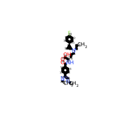 C=CCN(CCC[C@H](NC(=O)c1ccc(C(=C/N=C)/N=C\C)cc1)C(=O)O)[C@@H]1C[C@H]1c1ccc(F)cc1